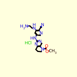 COC(=O)N1CCCc2nc(Nc3cnc(C#N)c(NCCN)c3)ncc21.Cl